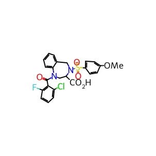 COc1ccc(S(=O)(=O)N2Cc3ccccc3N(C(=O)c3c(F)cccc3Cl)CC2C(=O)O)cc1